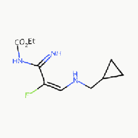 CCOC(=O)NC(=N)/C(F)=C\NCC1CC1